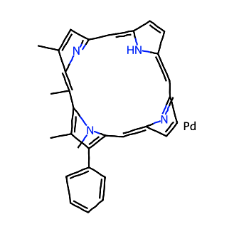 CC1=Cc2cc3ccc(cc4nc(cc5c(-c6ccccc6)c(C)c(c(C)c1n2)n5C)C=C4)[nH]3.[Pd]